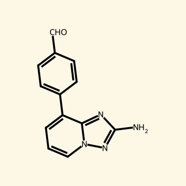 Nc1nc2c(-c3ccc(C=O)cc3)cccn2n1